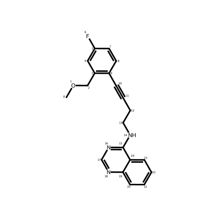 COCc1cc(F)ccc1C#CCCNc1ncnc2ccccc12